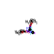 CC(C)(C)[Si](C)(C)OCCCONC(=O)c1cc(C=NOCCO[Si](C)(C)C(C)(C)C)c(F)c(F)c1Nc1ccc(I)cc1F